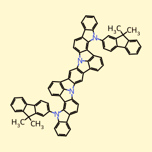 CC1(C)c2ccccc2-c2ccc(-n3c4ccccc4c4ccc5c(c6cccc7c8cc9c(cc8n5c76)c5cccc6c7c8c(ccc7n9c56)c5ccccc5n8-c5ccc6c(c5)C(C)(C)c5ccccc5-6)c43)cc21